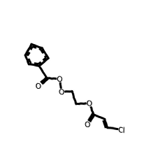 O=C(C=CCl)OCCOOC(=O)c1ccccc1